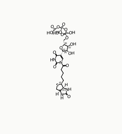 O=C1N[C@H]2[C@H](CS[C@H]2CCCCC(=O)n2cc([C@@H]3O[C@H](COP(=O)(O)OP(=O)(O)OP(=O)(O)O)[C@@H](O)[C@H]3O)c(=O)[nH]c2=O)N1